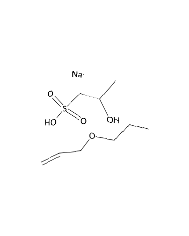 C=CCOCCC.CC(O)CS(=O)(=O)O.[Na]